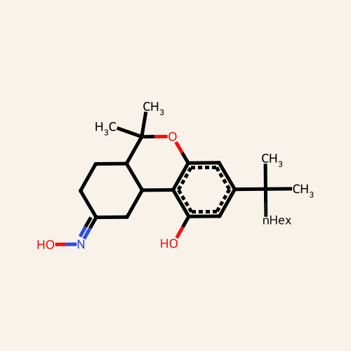 CCCCCCC(C)(C)c1cc(O)c2c(c1)OC(C)(C)C1CCC(=NO)CC21